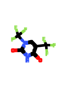 O=c1[nH]c(=O)n(C(F)(F)F)cc1C(F)(F)F